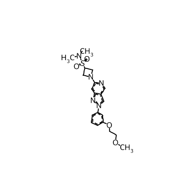 COCCOc1cccc(-n2cc3cnc(N4CC(S(=O)(=O)N(C)C)C4)cc3n2)c1